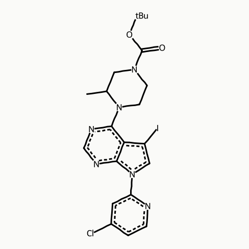 CC1CN(C(=O)OC(C)(C)C)CCN1c1ncnc2c1c(I)cn2-c1cc(Cl)ccn1